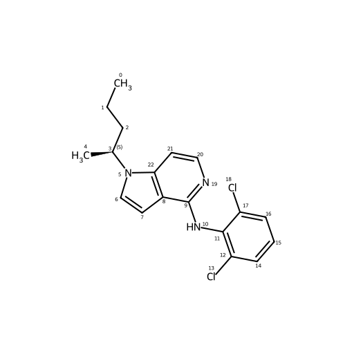 CCC[C@H](C)n1ccc2c(Nc3c(Cl)cccc3Cl)nccc21